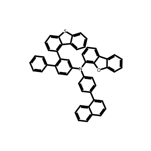 c1ccc(-c2ccc(N(c3ccc(-c4cccc5ccccc45)cc3)c3cccc4c3oc3ccccc34)cc2-c2cccc3sc4ccccc4c23)cc1